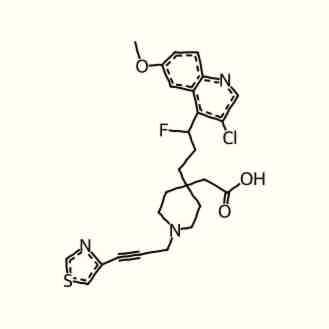 COc1ccc2ncc(Cl)c(C(F)CCC3(CC(=O)O)CCN(CC#Cc4cscn4)CC3)c2c1